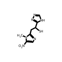 Cn1c([N+](=O)[O-])cnc1CC(S)c1nnc[nH]1